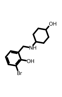 Oc1c(Br)cccc1CNC1CCC(O)CC1